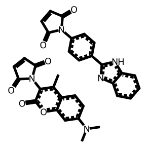 Cc1c(N2C(=O)C=CC2=O)c(=O)oc2cc(N(C)C)ccc12.O=C1C=CC(=O)N1c1ccc(-c2nc3ccccc3[nH]2)cc1